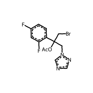 CC(=O)OC(CBr)(Cn1cncn1)c1ccc(F)cc1F